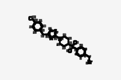 O=S(=O)(c1ccc(CBr)cc1)C1CCN(c2nc(Cc3ccc(Cl)cc3)cs2)CC1